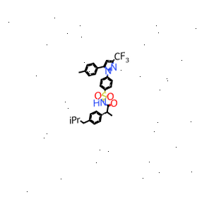 Cc1ccc(-c2cc(C(F)(F)F)nn2-c2ccc(S(=O)(=O)NC(=O)C(C)c3ccc(CC(C)C)cc3)cc2)cc1